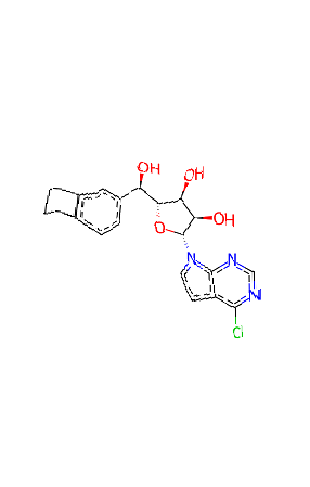 O[C@@H]1[C@H](O)[C@@H]([C@H](O)c2ccc3c(c2)CC3)O[C@H]1n1ccc2c(Cl)ncnc21